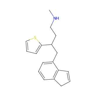 CNCCC(Cc1cccc2c1C=CC2)c1cccs1